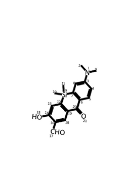 CN(C)c1ccc2c(c1)[Si](C)(C)c1cc(O)c(C=O)cc1C2=O